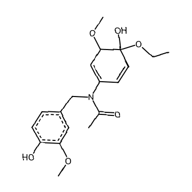 CCOC1(O)C=CC(N(Cc2ccc(O)c(OC)c2)C(C)=O)=CC1OC